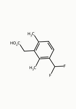 Cc1ccc(C(F)F)c(C)c1CC(=O)O